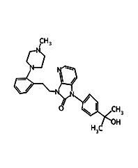 CN1CCN(c2ccccc2CCn2c(=O)n(-c3ccc(C(C)(C)O)cc3)c3cccnc32)CC1